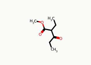 CCC(=O)C(CC)C(=O)OC